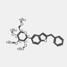 CCCCOC[C@H]1O[C@@H](c2ccc3oc(Cc4ccccc4)cc3c2)[C@H](OCCCC)[C@@H](OCCCC)[C@@H]1OCCCC